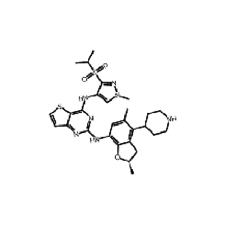 Cc1cc(Nc2nc(Nc3cn(C)nc3S(=O)(=O)C(C)C)c3sccc3n2)c2c(c1C1CCNCC1)C[C@@H](C)O2